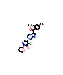 N#Cc1ccc(C(=O)c2cnc3n2CCN(c2cnn(C4CCCCO4)c(=O)c2Cl)C3)c(C(F)(F)F)c1